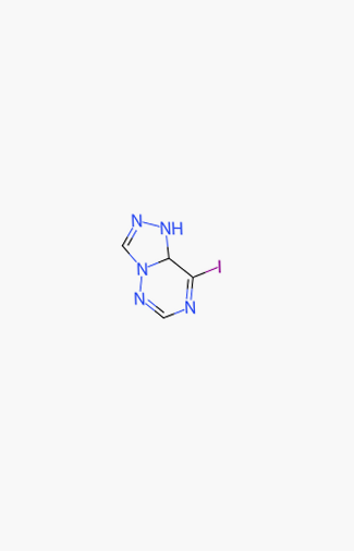 IC1=NC=NN2C=NNC12